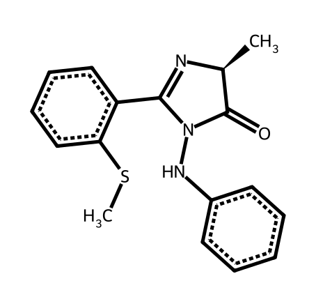 CSc1ccccc1C1=N[C@@H](C)C(=O)N1Nc1ccccc1